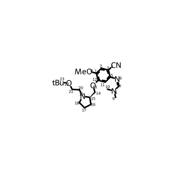 COc1cc(C#N)c(/N=C\N(C)C)cc1OC[C@H]1CCCN1CCOC(C)(C)C